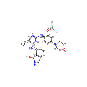 O=C1NCc2cccc(Nc3nc(Nc4ccc(N5CCOCC5)cc4OC(F)F)ncc3C(F)(F)F)c21